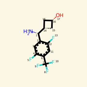 N[C@@H](c1cc(F)c(C(F)(F)F)cc1F)[C@H]1C[C@@H](O)C1